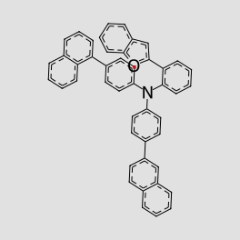 c1ccc(N(c2ccc(-c3ccc4ccccc4c3)cc2)c2ccc(-c3cccc4ccccc34)cc2)c(-c2cc3ccccc3o2)c1